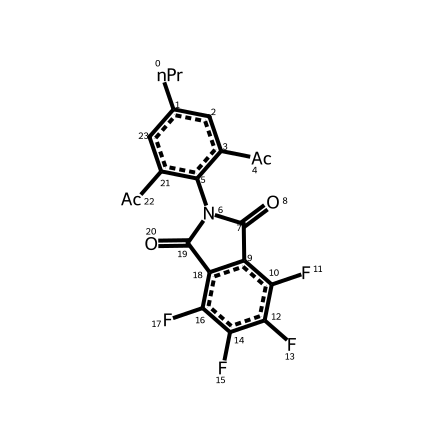 CCCc1cc(C(C)=O)c(N2C(=O)c3c(F)c(F)c(F)c(F)c3C2=O)c(C(C)=O)c1